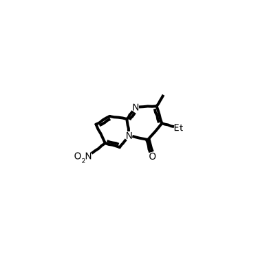 CCc1c(C)nc2ccc([N+](=O)[O-])cn2c1=O